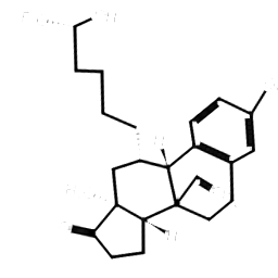 C=CC12CCc3cc(O)ccc3[C@H]1[C@@H](CCCC[C@@H](O)C(F)(F)F)C[C@]1(C)C(=O)CC[C@@H]21